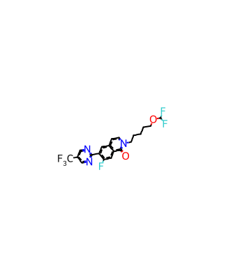 O=c1c2cc(F)c(-c3ncc(C(F)(F)F)cn3)cc2ccn1CCCCCOC(F)F